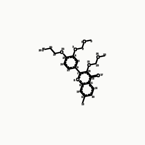 COCOc1cc(-c2oc3cc(C)ccc3c(=O)c2OCOC)ccc1OCCF